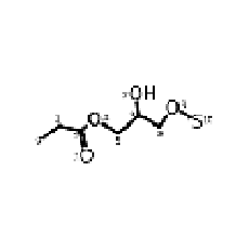 CCC(=O)OCC(O)CO[S]